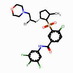 CC[C@H](C[C@@H]1CCC(C)C1S(=O)(=O)c1cc(C(=O)Nc2cc(F)c(F)c(F)c2)ccc1Cl)CN1CCOCC1